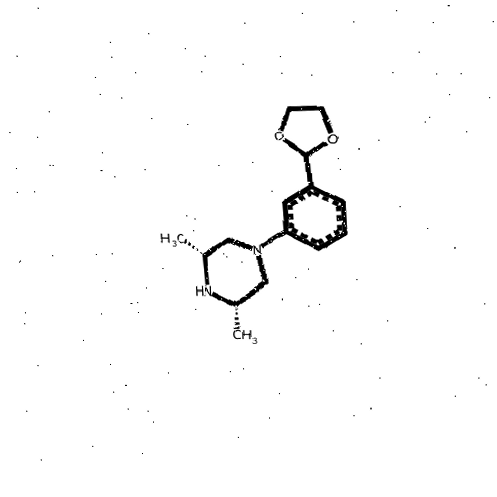 C[C@@H]1CN(c2cccc(C3OCCO3)c2)C[C@H](C)N1